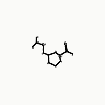 CC(=O)N1CCCC(COC(C)C)C1